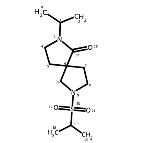 CC(C)N1CCC2(CCN(S(=O)(=O)C(C)C)C2)C1=O